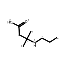 CCCNC(C)(C)CC(=O)O